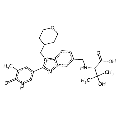 Cc1cc(-c2nc3cc(CN[C@H](C(=O)O)C(C)(C)O)ccc3n2CC2CCOCC2)c[nH]c1=O